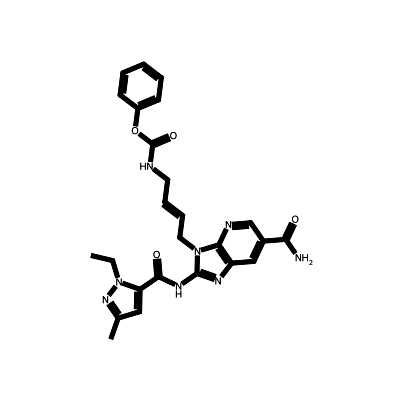 CCn1nc(C)cc1C(=O)Nc1nc2cc(C(N)=O)cnc2n1C/C=C/CNC(=O)Oc1ccccc1